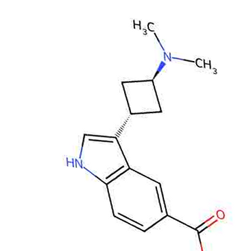 CN(C)[C@H]1C[C@H](c2c[nH]c3ccc(C(=O)O)cc32)C1